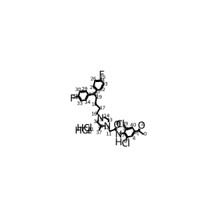 CC(=O)c1cc(Cl)c(NC(=O)CN2CCN(CCCCC(c3ccc(F)cc3)c3ccc(F)cc3)CC2C)c(Cl)c1.Cl.Cl